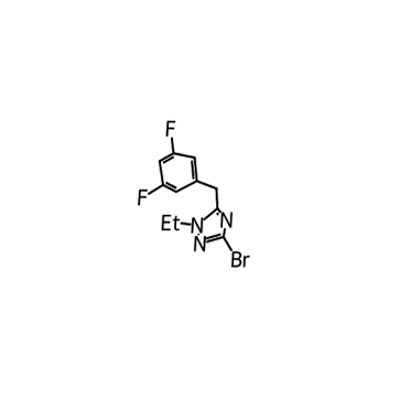 CCn1nc(Br)nc1Cc1cc(F)cc(F)c1